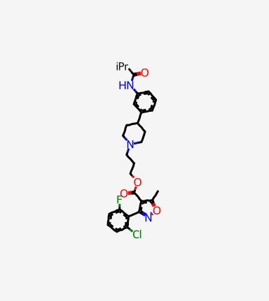 Cc1onc(-c2c(F)cccc2Cl)c1C(=O)OCCCN1CCC(c2cccc(NC(=O)C(C)C)c2)CC1